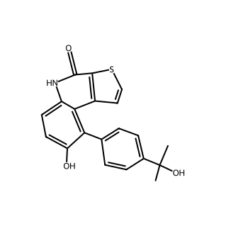 CC(C)(O)c1ccc(-c2c(O)ccc3[nH]c(=O)c4sccc4c23)cc1